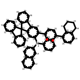 c1ccc(N(c2ccc3ccccc3c2)c2cc3c(cc2-c2ccc(-c4cccc5c4CCCC5)cc2)-c2ccccc2C32c3ccccc3-c3ccccc32)cc1